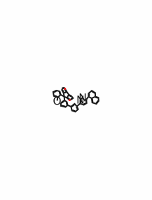 c1cc(-c2ccc3c(c2)C2(c4ccccc4O3)c3ccccc3-c3ccccc32)cc(-c2ccc(-c3cccc4ccccc34)nn2)c1